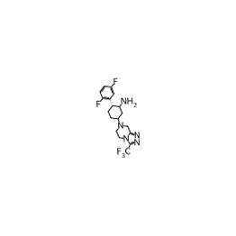 N[C@H]1C[C@@H](N2CCn3c(nnc3C(F)(F)F)C2)CC[C@@H]1c1cc(F)ccc1F